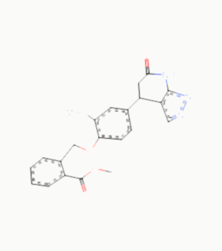 CCCOC(=O)c1ccccc1COc1ccc(C2CC(=O)Nc3n[nH]cc32)cc1OC